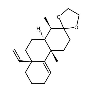 C=C[C@]12CCCC=C1[C@@]1(C)CCC3(OCCO3)[C@H](C)[C@@H]1CC2